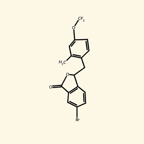 Cc1cc(OC(F)(F)F)ccc1CC1OC(=O)c2cc(Br)ccc21